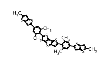 Cc1cc2sc(-c3cc(C)c(-c4cc5sc6cc(-c7c(C)cc(-c8cc9sc(C)cc9s8)cc7C)sc6c5s4)c(C)c3)cc2s1